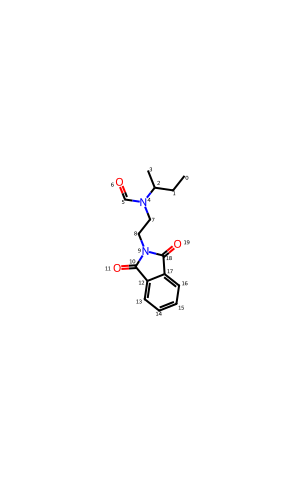 CCC(C)N(C=O)CCN1C(=O)c2ccccc2C1=O